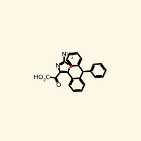 Nc1nc(C(=O)C(=O)O)c(-c2ccccc2C(c2ccccc2)c2ccccc2)s1